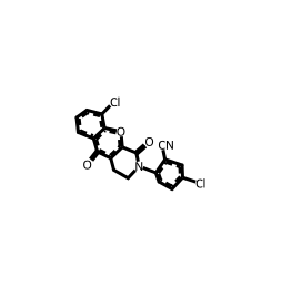 N#Cc1cc(Cl)ccc1N1CCc2c(oc3c(Cl)cccc3c2=O)C1=O